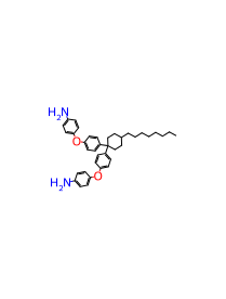 CCCCCCCCC1CCC(c2ccc(Oc3ccc(N)cc3)cc2)(c2ccc(Oc3ccc(N)cc3)cc2)CC1